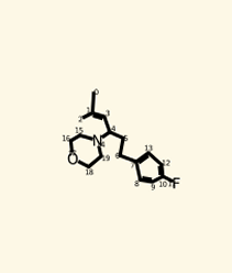 CC(C)=CC(CCc1ccc(F)cc1)N1CCOCC1